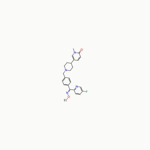 CCO/N=C(/c1ccc(CN2CCC(c3ccc(=O)n(C)c3)CC2)cc1)c1ccc(F)cn1